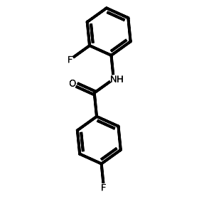 O=C(Nc1ccccc1F)c1ccc(F)cc1